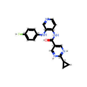 O=C(Nc1ccncc1Nc1ccc(F)cc1)c1cnc(C2CC2)nc1